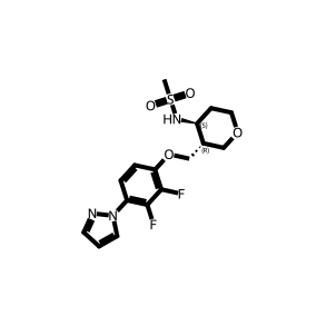 CS(=O)(=O)N[C@H]1CCOC[C@@H]1COc1ccc(-n2cccn2)c(F)c1F